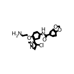 Cn1ncc(Cl)c1-c1cc(NC(=O)c2ccc3c(c2)OCO3)ccc1OCCN